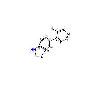 Cc1ccccc1-c1ccc2c(c1)CCN2